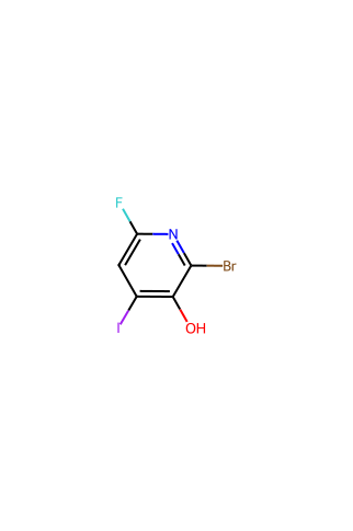 Oc1c(I)cc(F)nc1Br